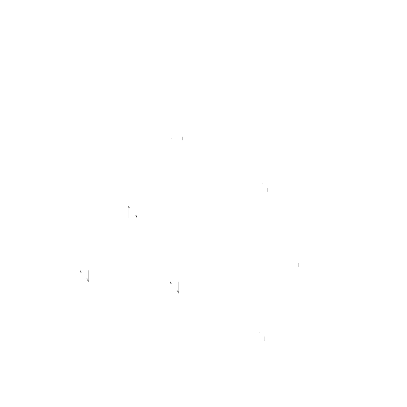 CCCCOc1c(C(=O)OC)nc2n(C)ccn2c1=O